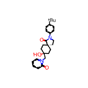 CC(C)(C)c1ccc(N2CC[C@]3(CC[C@@](O)(Cn4ccccc4=O)CC3)C2=O)cc1